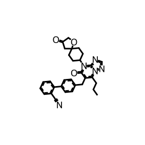 CCCc1c(Cc2ccc(-c3ccccc3C#N)cc2)c(=O)n(C2CCC3(CC2)CC(=O)CO3)c2ncnn12